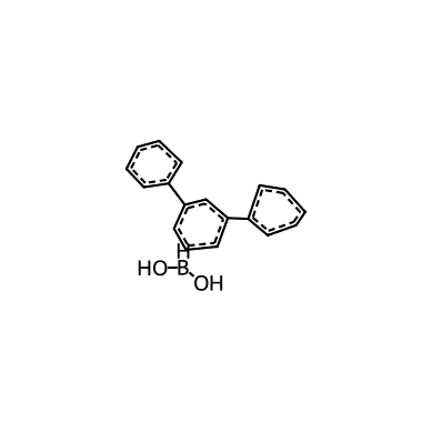 OBO.c1ccc(-c2cccc(-c3ccccc3)c2)cc1